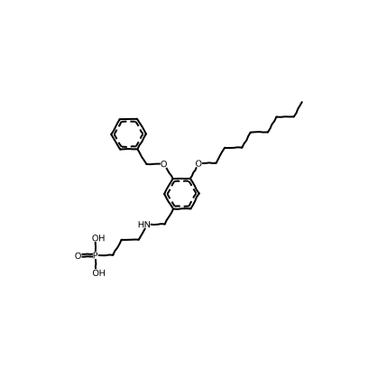 CCCCCCCCOc1ccc(CNCCCP(=O)(O)O)cc1OCc1ccccc1